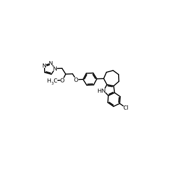 COC(COc1ccc(C2CCCCc3c2[nH]c2ccc(Cl)cc32)cc1)Cn1ccnn1